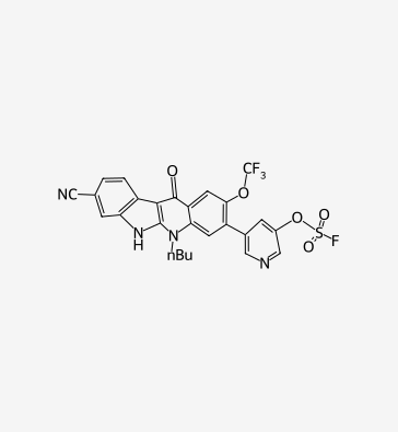 CCCCn1c2cc(-c3cncc(OS(=O)(=O)F)c3)c(OC(F)(F)F)cc2c(=O)c2c3ccc(C#N)cc3[nH]c21